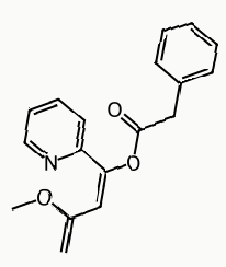 C=C(C=C(OC(=O)Cc1ccccc1)c1ccccn1)OC